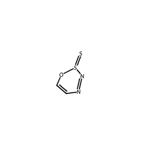 S=S1N=NC=CO1